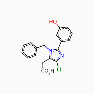 O=C(O)Cc1c(Cl)nc(-c2cccc(O)c2)n1Cc1ccccc1